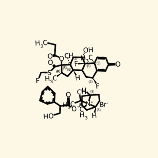 CC(C)[N+]1(C)[C@@H]2CC[C@H]1C[C@@H](OC(=O)C(CO)c1ccccc1)C2.CCC(=O)O[C@]1(C(=O)SCF)[C@H](C)C[C@H]2C3C[C@H](F)C4=CC(=O)C=C[C@]4(C)[C@@]3(F)[C@@H](O)C[C@@]21C.[Br-]